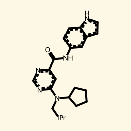 CC(C)CN(c1cc(C(=O)Nc2ccc3[nH]ccc3c2)ncn1)C1CCCC1